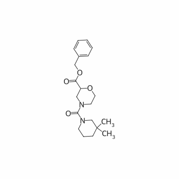 CC1(C)CCCN(C(=O)N2CCOC(C(=O)OCc3ccccc3)C2)C1